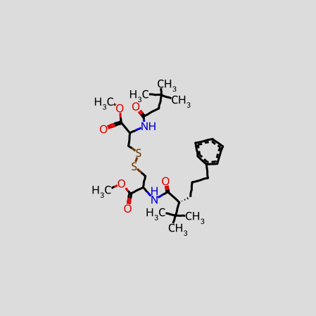 COC(=O)C(CSSCC(NC(=O)[C@H](CCCc1ccccc1)C(C)(C)C)C(=O)OC)NC(=O)CC(C)(C)C